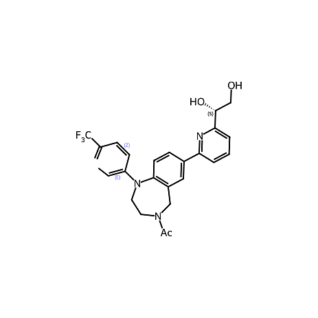 C=C(/C=C\C(=C/C)N1CCN(C(C)=O)Cc2cc(-c3cccc([C@H](O)CO)n3)ccc21)C(F)(F)F